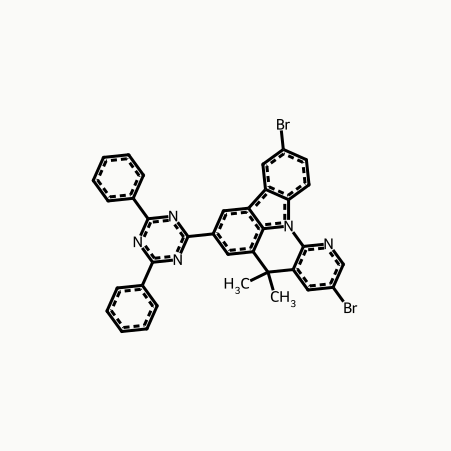 CC1(C)c2cc(Br)cnc2-n2c3ccc(Br)cc3c3cc(-c4nc(-c5ccccc5)nc(-c5ccccc5)n4)cc1c32